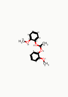 COc1ccccc1OC(C)Oc1ccccc1OC